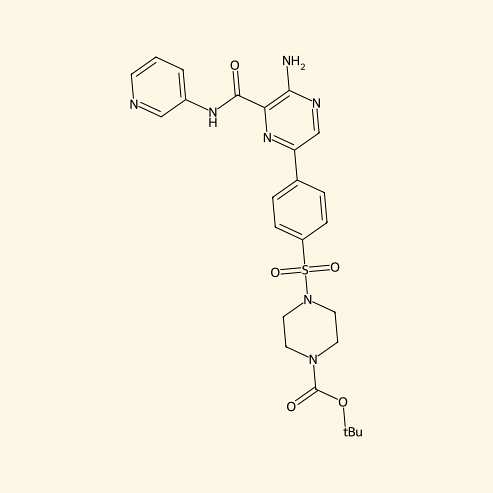 CC(C)(C)OC(=O)N1CCN(S(=O)(=O)c2ccc(-c3cnc(N)c(C(=O)Nc4cccnc4)n3)cc2)CC1